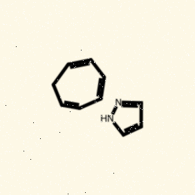 C1=CC=CCC=C1.c1cn[nH]c1